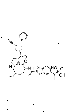 CC[C@H]1CC[C@H](NC(=O)c2cc3cc(C(F)P(=O)(O)O)ccc3s2)C(=O)N2[C@H](CC[C@H]2C(=O)N2C[C@@H](C#N)[C@H](c3ccccc3)C2)C1